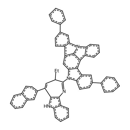 CCC1C=C(c2ccc3ccccc3c2)c2[nH]c3ccccc3c2N=C1n1c2ccc(-c3ccccc3)cc2c2c3c4ccccc4n4c5cc(-c6ccccc6)ccc5c(cc21)c34